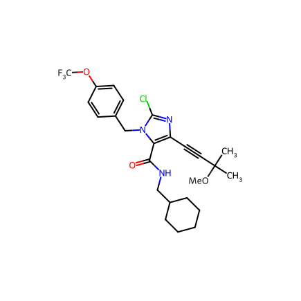 COC(C)(C)C#Cc1nc(Cl)n(Cc2ccc(OC(F)(F)F)cc2)c1C(=O)NCC1CCCCC1